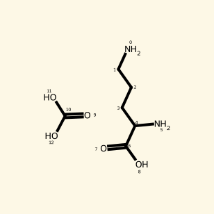 NCCCC(N)C(=O)O.O=C(O)O